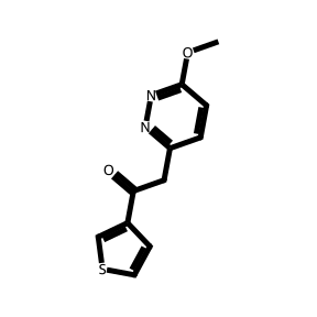 COc1ccc(CC(=O)c2ccsc2)nn1